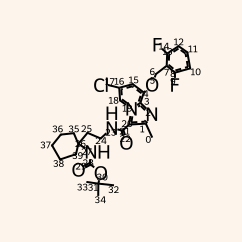 Cc1nc2c(OCc3c(F)cccc3F)cc(Cl)cn2c1C(=O)NCCC1(NC(=O)OC(C)(C)C)CCCCC1